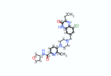 CCc1nc2c(Cl)cc(CN3CCN(c4ccc(C(=O)N[C@@H]5CCOC5)nc4C)CC3)cc2[nH]c1=O